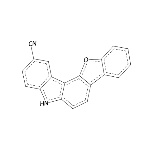 N#Cc1ccc2[nH]c3ccc4c5ccccc5oc4c3c2c1